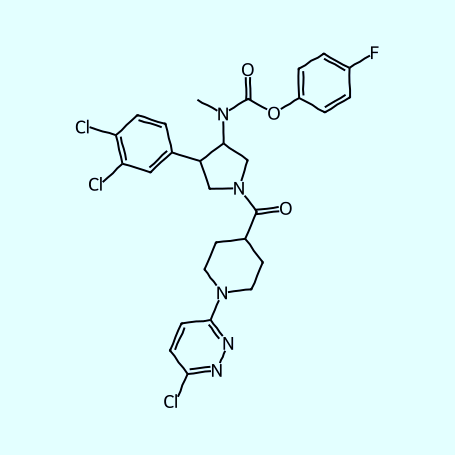 CN(C(=O)Oc1ccc(F)cc1)C1CN(C(=O)C2CCN(c3ccc(Cl)nn3)CC2)CC1c1ccc(Cl)c(Cl)c1